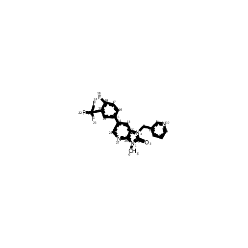 Cn1c(=O)n(Cc2cccnc2)c2cc(-c3ccc(F)c(C(F)(F)F)c3)cnc21